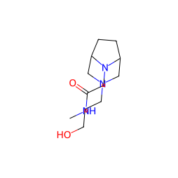 CNC(=O)CN1C2CCC1CN(CCCO)C2